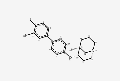 Cc1ccc(-c2ccc(O[C@H]3CC[N@@]4CCC[C@H]3C4)nn2)cc1F